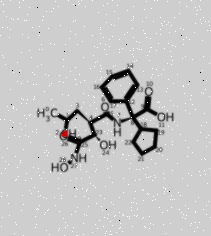 CC(C)C[C@@H](C(=O)N[C@](C(=O)O)(c1ccccc1)C1CCCC1)[C@H](O)C(=O)NO